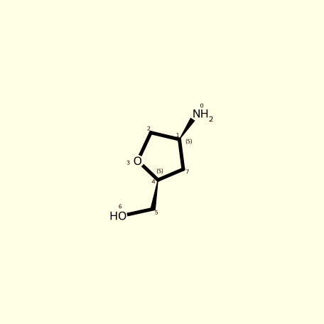 N[C@@H]1CO[C@H](CO)C1